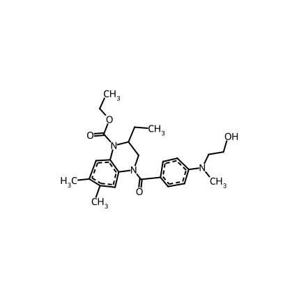 CCOC(=O)N1c2cc(C)c(C)cc2N(C(=O)c2ccc(N(C)CCO)cc2)CC1CC